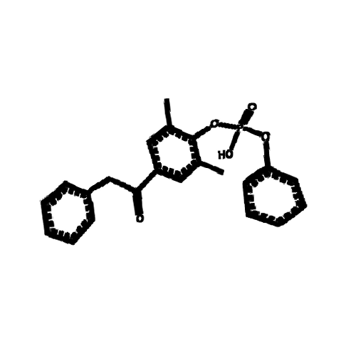 Cc1cc(C(=O)Cc2ccccc2)cc(C)c1OP(=O)(O)Oc1ccccc1